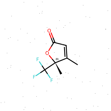 CC1=CC(=O)O[C@@]1(C)C(F)(F)F